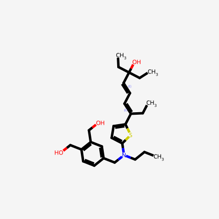 CCCN(Cc1ccc(CO)c(CO)c1)c1ccc(/C(=C/C=C/C(O)(CC)CC)CC)s1